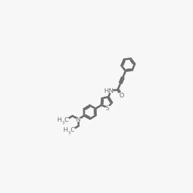 CCN(CC)c1ccc(-c2cc(NC(=O)C#Cc3ccccc3)cs2)cc1